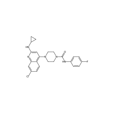 O=C(Nc1ccc(F)cc1)N1CCN(c2cc(NC3CC3)nc3cc(Cl)ccc23)CC1